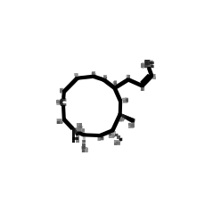 CC/C=C\CC1CCCCCCN[C@@H](C)C[C@@H](C)[C@H](C)C1